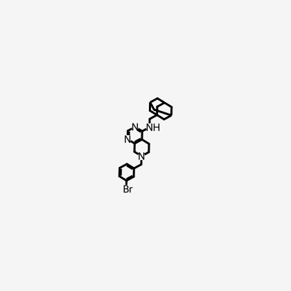 Brc1cccc(CN2CCc3c(ncnc3NCC34CC5CC(CC(C5)C3)C4)C2)c1